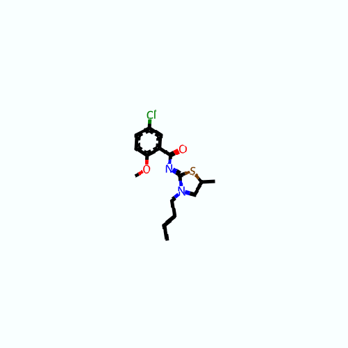 CCCCN1CC(C)S/C1=N\C(=O)c1cc(Cl)ccc1OC